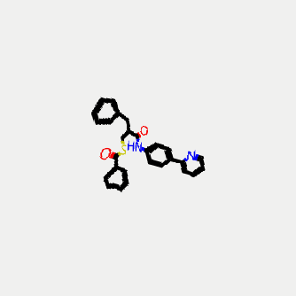 O=C(SCC(Cc1ccccc1)C(=O)Nc1ccc(-c2ccccn2)cc1)c1ccccc1